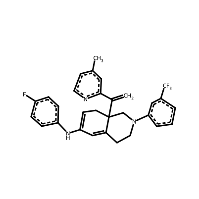 C=C(c1cc(C)ccn1)C12CC=C(Nc3ccc(F)cc3)C=C1CCN(c1cccc(C(F)(F)F)c1)C2